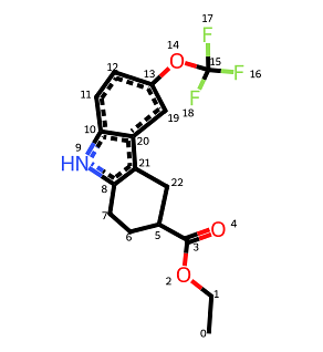 CCOC(=O)C1CCc2[nH]c3ccc(OC(F)(F)F)cc3c2C1